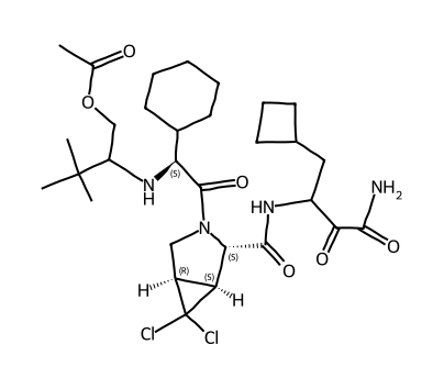 CC(=O)OCC(N[C@H](C(=O)N1C[C@H]2[C@@H]([C@H]1C(=O)NC(CC1CCC1)C(=O)C(N)=O)C2(Cl)Cl)C1CCCCC1)C(C)(C)C